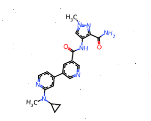 CN(c1cc(-c2cncc(C(=O)Nc3cn(C)nc3C(N)=O)c2)ccn1)C1CC1